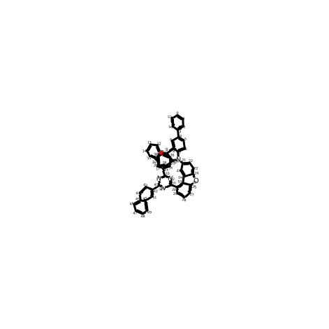 c1ccc(-c2ccc3c(c2)c2c4ccccc4ccc2n3-c2ccc3oc4cccc(-c5nc(-c6ccccc6)nc(-c6ccc7ccccc7c6)n5)c4c3c2)cc1